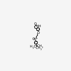 CC(C)(C)c1ccc([S+]([O-])CCCCOc2ccc3c(c2)CCC(=O)N3)cc1